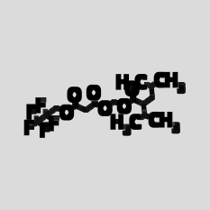 CC(C)CC(C(=O)OCOC(=O)CC(=O)OCC(F)(F)C(F)(F)F)C(C)C